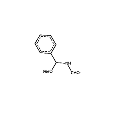 COC(N[C]=O)c1ccccc1